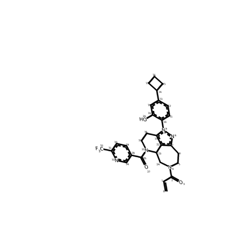 C=CC(=O)N1CCc2nn(-c3ccc(C4CCC4)cc3O)c3c2C(C1)N(C(=O)c1ccc(C(F)(F)F)nc1)CC3